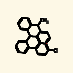 CC1c2ccccc2C(c2ccccc2-c2ccc(Cl)cc2)c2ccccc21